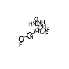 O=C1NCC2(C[C@H]3CC(F)(F)CC[C@H]3[C@@H]2C=Cc2ccc(-c3cccc(F)c3)cn2)N1